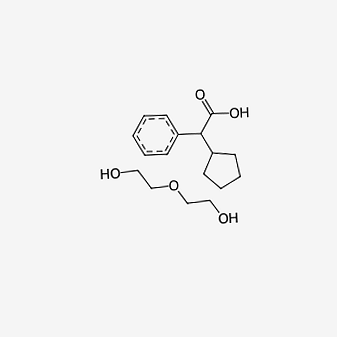 O=C(O)C(c1ccccc1)C1CCCC1.OCCOCCO